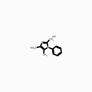 Cc1nc(C(=O)O)c(C)n1-c1ccccc1.[LiH]